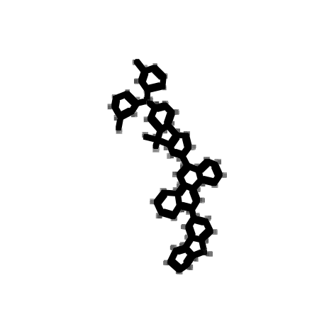 Cc1cccc(N(c2cccc(C)c2)c2ccc3c(c2)C(C)(C)c2cc(-c4cc5c6ccccc6c(-c6ccc7sc8ccccc8c7c6)cc5c5ccccc45)ccc2-3)c1